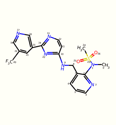 CN(c1ncccc1CNc1ccnc(-c2cncc(C(F)(F)F)c2)n1)S(C)(=O)=O